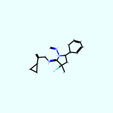 C=NN1/C(=N\CC(=C)C2CC2)C(C)(F)CC1C1C=CC=CC1